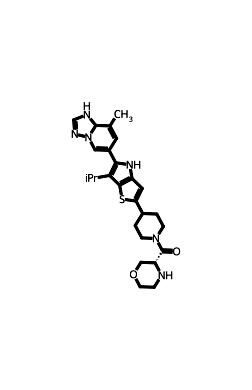 CC1=CC(c2[nH]c3cc(C4CCN(C(=O)[C@H]5COCCN5)CC4)sc3c2C(C)C)=CN2N=CNC12